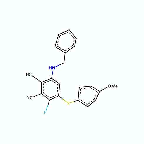 COc1ccc(Sc2cc(NCc3ccccc3)c(C#N)c(C#N)c2F)cc1